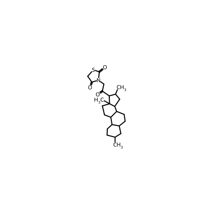 CC1CCC2C(CCC3C2CCC2(C)C3CC(C)C2C(=O)CN2C(=O)CSC2=O)C1